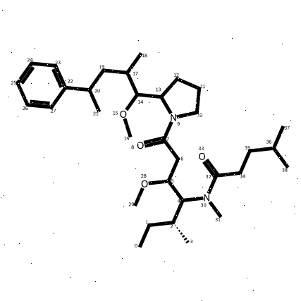 CC[C@@H](C)C(C(CC(=O)N1CCCC1C(OC)C(C)CC(C)c1ccccc1)OC)N(C)C(=O)CCC(C)C